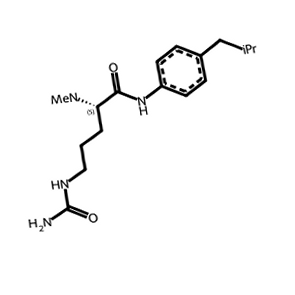 CN[C@@H](CCCNC(N)=O)C(=O)Nc1ccc(CC(C)C)cc1